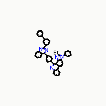 CCc1nc2c3c(-c4ccc(-c5nc(-c6cccc(-c7ccccc7)c6)nc6ccccc56)cc4)nc4ccccc4c3ccc2n1-c1ccccc1